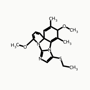 CCSc1cnc2n1C1=C(C)C(OC)C(C)=CC13C=CC=C(OC)N23